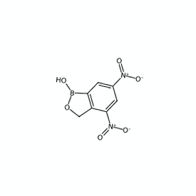 O=[N+]([O-])c1cc2c(c([N+](=O)[O-])c1)COB2O